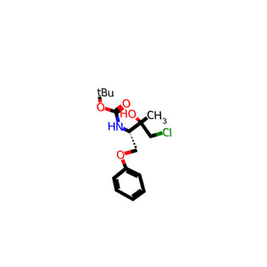 CC(C)(C)OC(=O)N[C@@H](COc1ccccc1)C(C)(O)CCl